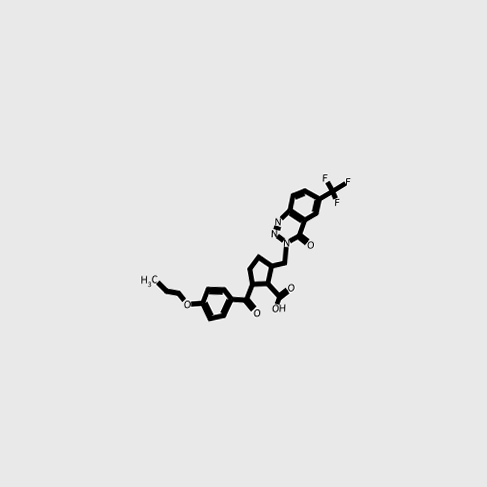 CCCOc1ccc(C(=O)C2CCC(Cn3nnc4ccc(C(F)(F)F)cc4c3=O)C2C(=O)O)cc1